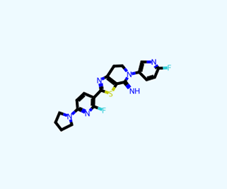 N=C1c2sc(-c3ccc(N4CCCC4)nc3F)nc2CCN1c1ccc(F)nc1